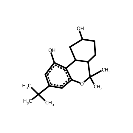 CC(C)(C)c1cc(O)c2c(c1)OC(C)(C)C1CCC(O)CC21